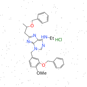 CCNc1ncn(Cc2ccc(OC)c(OCc3ccccc3)c2)c2nc(CC(C)OCc3ccccc3)nc1-2.Cl